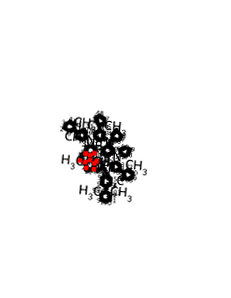 Cc1cccc(C)c1-c1ccc(N2c3ccc(-c4c(C)cccc4C)cc3B3c4cc5c(cc4N(c4ccccc4)c4cc(-c6c(C)cccc6C)cc2c43)N(c2ccccc2)c2cc(-c3c(C)cccc3C)cc3c2B5c2cc(-c4c(C)cccc4C)ccc2N3c2ccc(-c3c(C)cccc3C)cc2)cc1